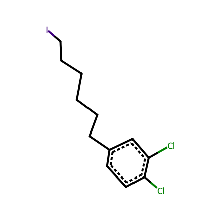 Clc1ccc(CCCCCCI)cc1Cl